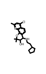 Cc1cc(Cl)c2ccc3c(c2n1)OC(C)(C)C(O)C3NCCC1CCCC1